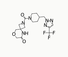 O=C1COCC2(CN(C(=O)N3CCC(Cn4ncc(C(F)(F)F)n4)CC3)C2)N1